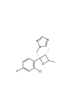 CC1O[C@@](Cn2cncn2)(c2ccc(F)cc2Cl)[C@@H]1C